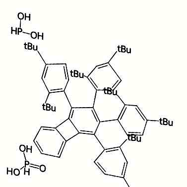 CC(C)(C)c1ccc(-c2c3c(c(-c4ccc(C(C)(C)C)cc4C(C)(C)C)c(-c4ccc(C(C)(C)C)cc4C(C)(C)C)c2-c2ccc(C(C)(C)C)cc2C(C)(C)C)-c2ccccc2-3)c(C(C)(C)C)c1.O=[PH](O)O.OPO